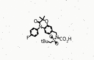 CC(C)(C)CS(=O)(=O)N(Cc1ccc2c(c1)OC(C)(C)C(=O)N2c1ccc(F)cc1)C(=O)O